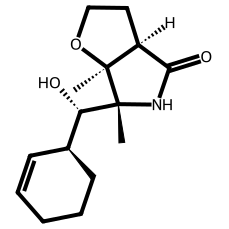 C[C@]12OCC[C@H]1C(=O)N[C@]2(C)[C@@H](O)[C@@H]1C=CCCC1